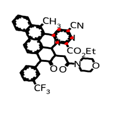 CCOC(=O)c1nccc(-c2c(C)c3ccccc3c3ccc4c(c23)C(c2ccc(C#N)cc2)C(CC(=O)N2CCOCC2)C(=O)C4c2cccc(C(F)(F)F)c2)n1